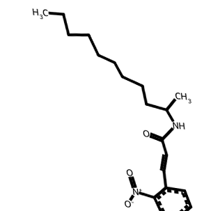 CCCCCCCCCC(C)NC(=O)C=Cc1ccccc1[N+](=O)[O-]